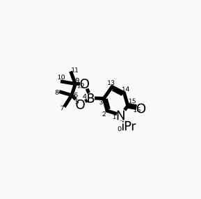 CC(C)n1cc(B2OC(C)(C)C(C)(C)O2)ccc1=O